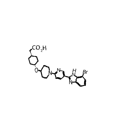 O=C(O)C[C@H]1CC[C@H](OC2CCN(c3ccc(-c4nc5cccc(Br)c5[nH]4)cn3)CC2)CC1